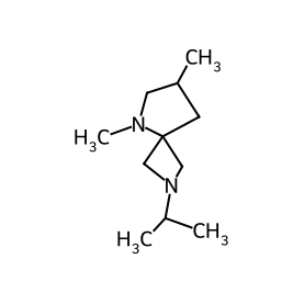 CC1CN(C)C2(C1)CN(C(C)C)C2